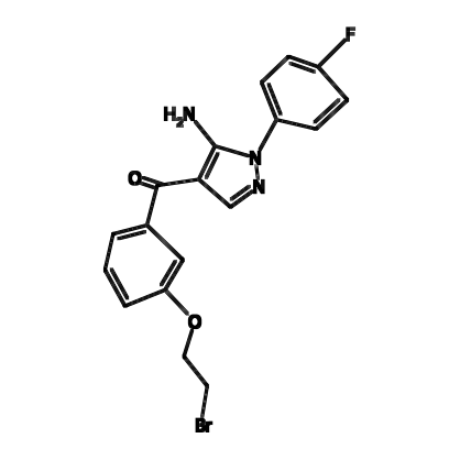 Nc1c(C(=O)c2cccc(OCCBr)c2)cnn1-c1ccc(F)cc1